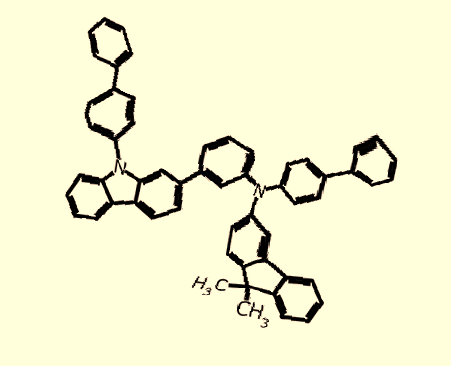 CC1(C)c2ccccc2-c2cc(N(c3ccc(-c4ccccc4)cc3)c3cccc(-c4ccc5c6ccccc6n(-c6ccc(-c7ccccc7)cc6)c5c4)c3)ccc21